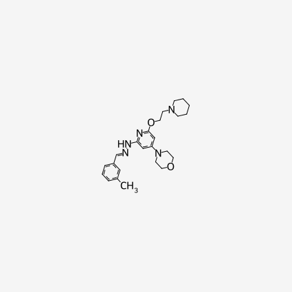 Cc1cccc(C=NNc2cc(N3CCOCC3)cc(OCCN3CCCCC3)n2)c1